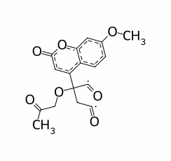 COc1ccc2c(C([C]=O)(C[C]=O)OCC(C)=O)cc(=O)oc2c1